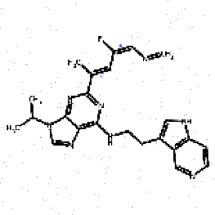 C=N/C=C(F)\C=C(/C)c1nc(NCCc2c[nH]c3ccncc23)c2ncn(C(C)C)c2n1